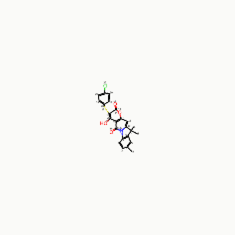 Cc1ccc2c(c1)C(C)(C)c1cc3oc(=O)c(Sc4ccc(Cl)cc4)c(O)c3c(=O)n1-2